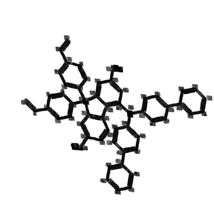 C=Cc1ccc([Si]2(c3ccc(C=C)cc3)c3cc(C(C)(C)C)ccc3-c3c(N(c4ccc(-c5ccccc5)cc4)c4ccc(-c5ccccc5)cc4)cc(C(C)(C)C)cc32)cc1